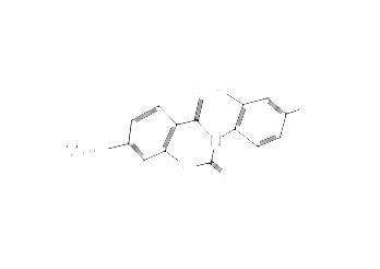 COc1ccc2c(=O)n(-c3ccc(Cl)cc3F)c(=O)oc2c1